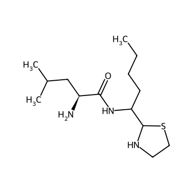 CCCCC(NC(=O)[C@@H](N)CC(C)C)C1NCCS1